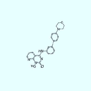 O=c1nc(Nc2cccc(-c3ccc(N4CCOCC4)cc3)c2)c2cccnc2n1O